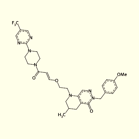 COc1ccc(Cn2ncc3c(c2=O)CC(C)CN3CCO/C=C/C(=O)N2CCN(c3ncc(C(F)(F)F)cn3)CC2)cc1